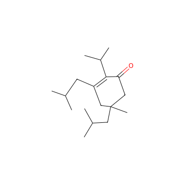 CC(C)CC1=C(C(C)C)C(=O)CC(C)(CC(C)C)C1